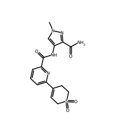 Cn1cc(NC(=O)c2cccc(C3=CCS(=O)(=O)CC3)n2)c(C(N)=O)n1